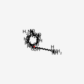 CC(N)C(=O)OC(C)C1NC(=O)C(C(C)C)NC(=O)C(C(C)C)NC(=O)C(NC(=O)CC(O)CCCCCCCCCCCCNC(=N)N)C(C)OC(=O)C(C)NC(=O)C(CC(N)=O)NC1=O